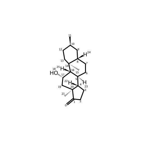 C=C1CC[C@H]2[C@@H]3CC[C@H]4C[C@H](C)CC[C@]4(C)[C@H]3[C@@H](O)C[C@]12C